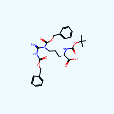 CC(C)(C)OC(=O)N[C@@H](CCCN(C(=N)NC(=O)OCc1ccccc1)C(=O)OCc1ccccc1)C(=O)O